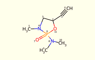 C#CC1CN(C)P(=O)(N(C)C)O1